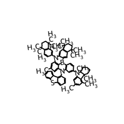 Cc1cc2c3c(c1)N(c1cccc4sc5ccccc5c14)c1cc(N4c5cc(C)cc(C)c5C5(C)CCCC[C@]45C)ccc1B3c1cc3c(cc1N2c1ccc2c(c1)C(C)(C)CCC2(C)C)C(C)(C)CCC3(C)C